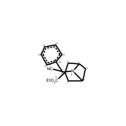 CCOC(=O)C1(C#N)CC2CC(C1)N2Cc1ccccc1